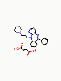 O=C(O)C=CC(=O)O.c1ccc(C2=Nc3cccnc3N(CCCN3CCCCC3)c3ccccc32)cc1